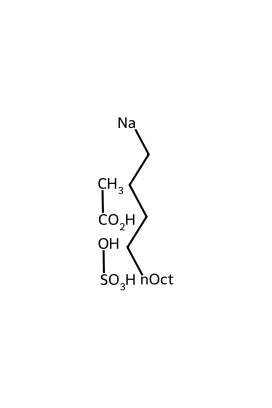 CC(=O)O.CCCCCCCCCCC[CH2][Na].O=S(=O)(O)O